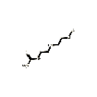 CNC(=O)NCCNCCNC(C)C